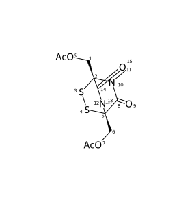 CC(=O)OC[C@@]12SS[C@@](COC(C)=O)(C(=O)N1C)N(C)C2=O